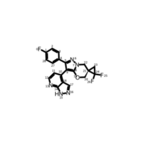 Fc1ccc(-c2nn3c(c2-c2ccnc4[nH]ncc24)OC[C@@]2(C3)CC2(F)F)cc1